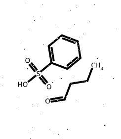 CCCC=O.O=S(=O)(O)c1ccccc1